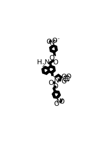 CS(=O)(=O)O[C@@H]1C[C@@H](Cc2ccc(C(N)C(=O)OCc3ccc([N+](=O)[O-])cc3)c3ccccc23)N(C(=O)OCc2ccc([N+](=O)[O-])cc2)C1